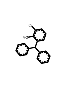 Oc1c(Cl)cccc1C(c1ccccc1)c1ccccc1